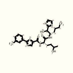 CC(O)CC[C@H](NC(=O)c1cnc(-c2cccc(C(F)(F)F)c2)s1)C(=O)N[C@@H](CCCC(F)(F)F)C(O)c1nccs1